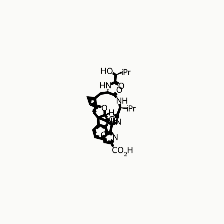 CC(C)[C@H](O)C(=O)N[C@H]1Cc2ccc3c(c2)C2(c4ccccc4N[C@H]2O3)c2oc(nc2-c2nc(C(=O)O)co2)[C@H](C(C)C)NC1=O